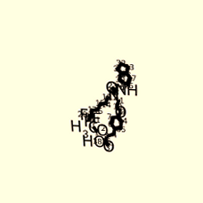 CCOC(Cc1ccc(OCCN(CCCCCC(F)(F)F)C(=O)Nc2ccc3c(c2)CCC3)cc1)C(=O)O